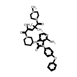 CN1CCN(C(=O)C(C)(C)C=C(C#N)C(=O)N2CCC[C@@H](n3c(=O)n(-c4ccc(Oc5ccccc5)cc4)c4c(N)nccc43)C2)CC1